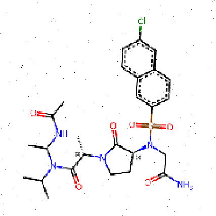 CC(=O)NC(C)N(C(=O)[C@H](C)N1CC[C@H](N(CC(N)=O)S(=O)(=O)c2ccc3cc(Cl)ccc3c2)C1=O)C(C)C